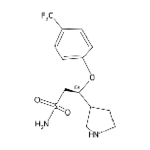 NS(=O)(=O)C[C@@H](Oc1ccc(C(F)(F)F)cc1)C1CCNC1